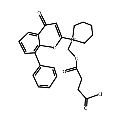 O=C(Cl)CCC(=O)OC[N+]1(c2cc(=O)c3cccc(-c4ccccc4)c3o2)CCCCC1